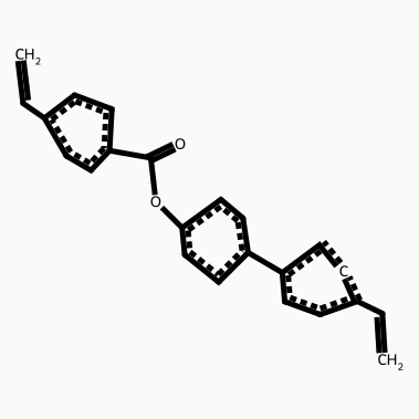 C=Cc1ccc(C(=O)Oc2ccc(-c3ccc(C=C)cc3)cc2)cc1